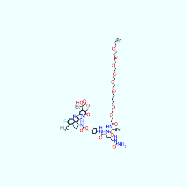 CC[C@@]1(O)C(=O)OCc2c1cc1n(c2=O)Cc2c-1nc1cc(F)c(C)c3c1c2[C@@H](NC(=O)OCc1ccc(NC(=O)[C@H](CCCNC(N)=O)NC(=O)[C@@H](NC(=O)CCOCCOCCCCCOCCOCCOCCOCCOCCOCCC(C)C)C(C)C)cc1)CC3